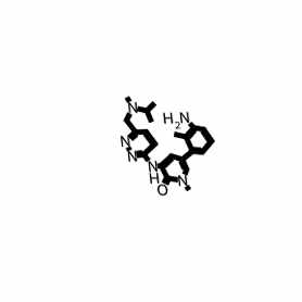 Cc1c(N)cccc1-c1cc(Nc2ccc(CN(C)C(C)C)nn2)c(=O)n(C)c1